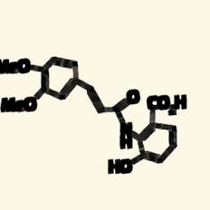 COc1ccc(C=CC(=O)Nc2c(O)cccc2C(=O)O)cc1OC